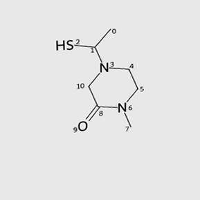 CC(S)N1CCN(C)C(=O)C1